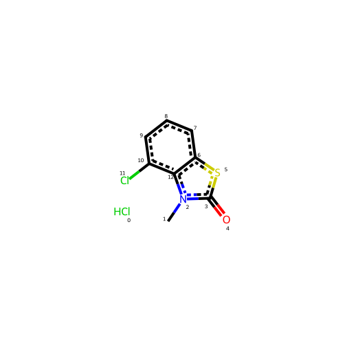 Cl.Cn1c(=O)sc2cccc(Cl)c21